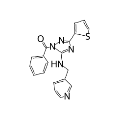 O=C(c1ccccc1)n1nc(-c2cccs2)nc1NCc1cccnc1